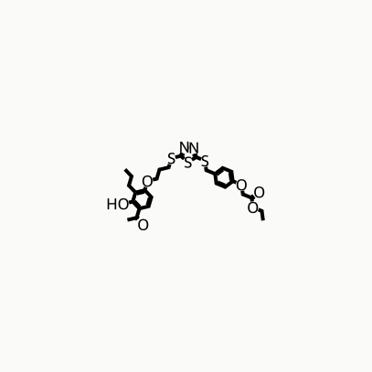 CCCc1c(OCCCSc2nnc(SCc3ccc(OCC(=O)OCC)cc3)s2)ccc(C(C)=O)c1O